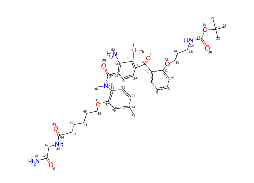 COc1c(C(=O)c2ccccc2OCCCNC(=O)OC(C)(C)C)ccc(C(=O)N(C)c2ccc(C)cc2OCCCCCC(=O)NCC(N)=O)c1N